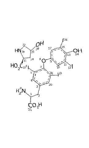 NC(Cc1cc(I)c(Oc2cc(I)c(O)c(I)c2)c(I)c1)C(=O)O.O=C(O)[C@@H]1CC(O)CN1